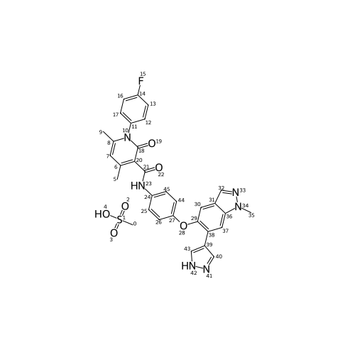 CS(=O)(=O)O.Cc1cc(C)n(-c2ccc(F)cc2)c(=O)c1C(=O)Nc1ccc(Oc2cc3cnn(C)c3cc2-c2cn[nH]c2)cc1